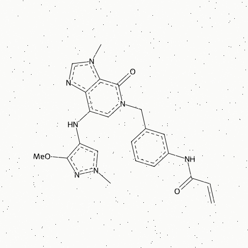 C=CC(=O)Nc1cccc(Cn2cc(Nc3cn(C)nc3OC)c3ncn(C)c3c2=O)c1